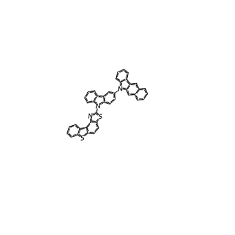 c1ccc2cc3c(cc2c1)c1ccccc1n3-c1ccc2c(c1)c1ccccc1n2-c1nc2c(ccc3sc4ccccc4c32)s1